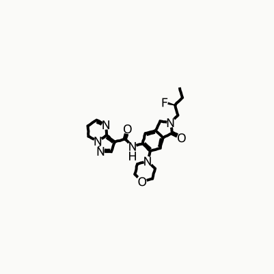 CC[C@H](F)CN1Cc2cc(NC(=O)c3cnn4c3N=CCC4)c(N3CCOCC3)cc2C1=O